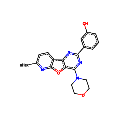 CCCCCCc1ccc2c(n1)oc1c(N3CCOCC3)nc(-c3cccc(O)c3)nc12